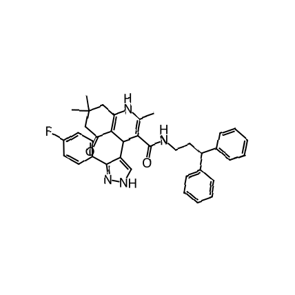 CC1=C(C(=O)NCCC(c2ccccc2)c2ccccc2)C(c2c[nH]nc2-c2ccc(F)cc2)C2=C(CC(C)(C)CC2=O)N1